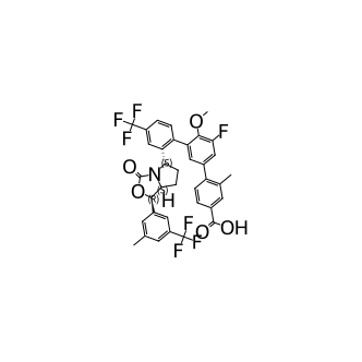 COc1c(F)cc(-c2ccc(C(=O)O)cc2C)cc1-c1ccc(C(F)(F)F)cc1[C@@H]1CC[C@H]2[C@@H](c3cc(C)cc(C(F)(F)F)c3)OC(=O)N12